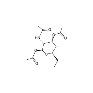 CC[C@H]1O[C@@H](OC(C)=O)[C@H](NC(C)=O)[C@@H](OC(C)=O)[C@@H]1C